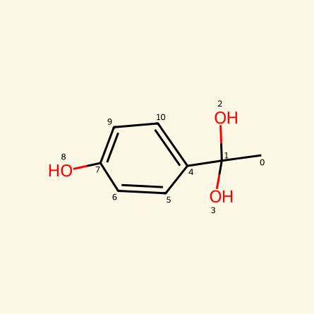 CC(O)(O)c1ccc(O)cc1